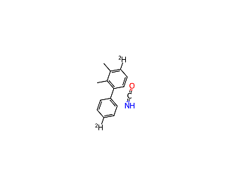 N=C=O.[2H]c1ccc(-c2ccc([2H])c(C)c2C)cc1